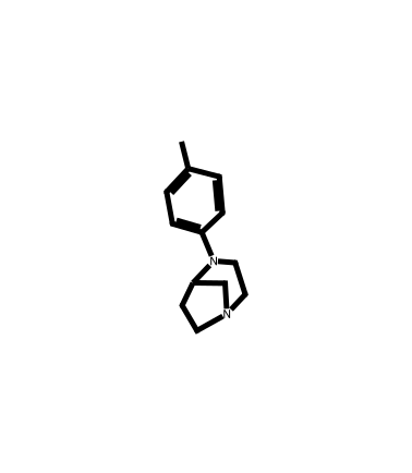 Cc1ccc(N2CCN3CCC2C3)cc1